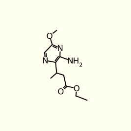 CCOC(=O)CC(C)c1ncc(OC)nc1N